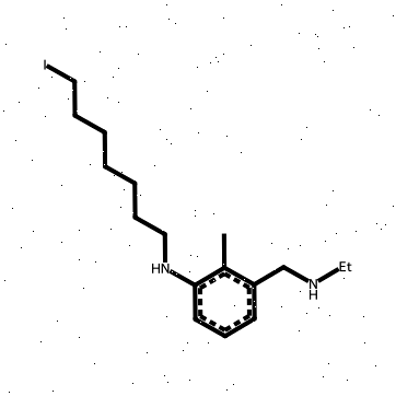 CCNCc1cccc(NCCCCCCCI)c1C